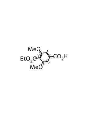 CCOC(=O)c1c(OC)cc(C(=O)O)cc1OC